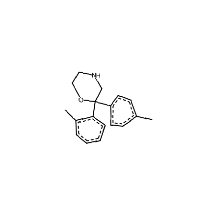 Cc1ccc(C2(c3ccccc3C)CNCCO2)cc1